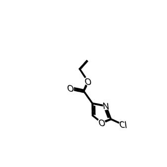 CCOC(=O)c1coc(Cl)n1